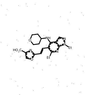 CCc1nc2c(cnn2CC)c(NC2CCOCC2)c1C=Cc1nc(C(=O)O)co1